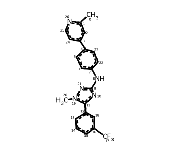 Cc1cc(-c2ccc(Nc3nc(-c4cccc(C(F)(F)F)c4)n(C)n3)cc2)ccn1